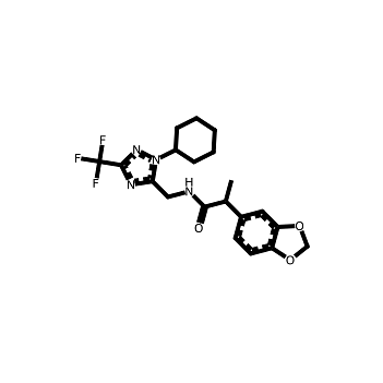 CC(C(=O)NCc1nc(C(F)(F)F)nn1C1CCCCC1)c1ccc2c(c1)OCO2